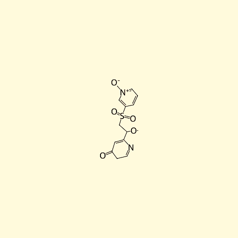 [O]C(CS(=O)(=O)c1ccc[n+]([O-])c1)C1=CC(=O)CC=N1